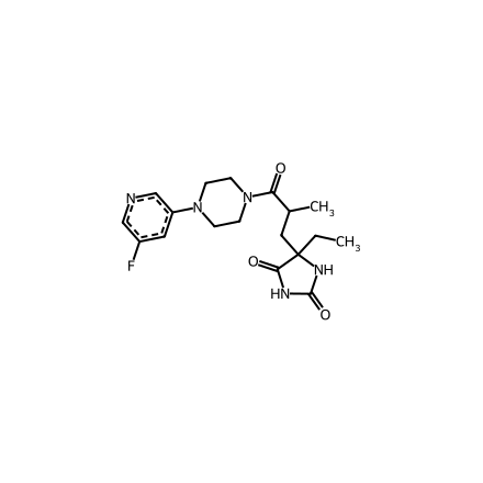 CCC1(CC(C)C(=O)N2CCN(c3cncc(F)c3)CC2)NC(=O)NC1=O